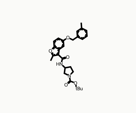 Cc1cccc(COc2ccc3oc(C)c(C(=O)NC4CCN(C(=O)OC(C)(C)C)C4)c3c2)c1